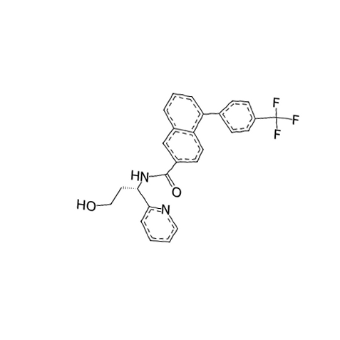 O=C(N[C@@H](CCO)c1ccccn1)c1ccc2c(-c3ccc(C(F)(F)F)cc3)cccc2c1